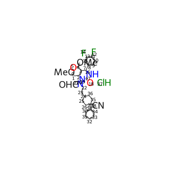 COCC1=C(C(=O)OC)C(c2ccc(F)c(F)c2)NC(=O)N1N(C=O)CCC1CCC(C#N)(c2ccccc2)CC1.Cl